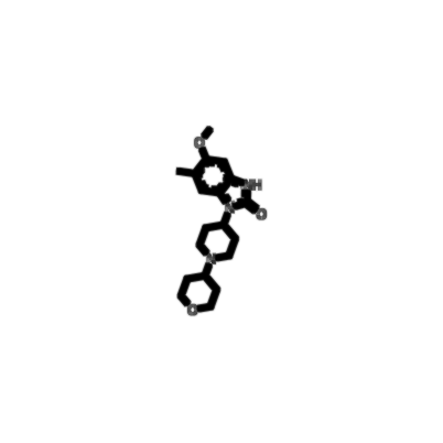 COc1cc2[nH]c(=O)n(C3CCN(C4CCOCC4)CC3)c2cc1C